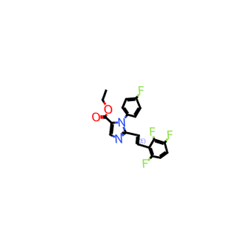 CCOC(=O)c1cnc(/C=C/c2c(F)ccc(F)c2F)n1-c1ccc(F)cc1